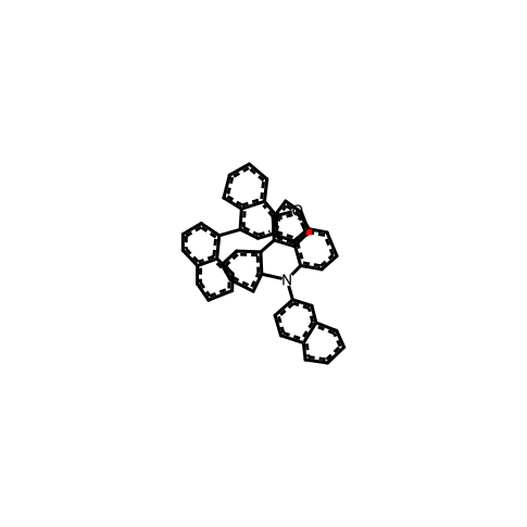 c1ccc(-c2ccccc2N(c2ccc3ccccc3c2)c2cccc3oc4c5ccccc5c(-c5cccc6ccccc56)cc4c23)cc1